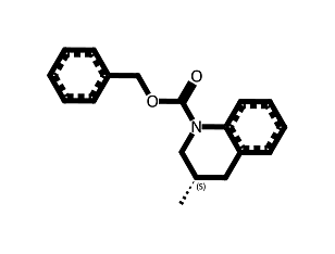 C[C@H]1Cc2ccccc2N(C(=O)OCc2ccccc2)C1